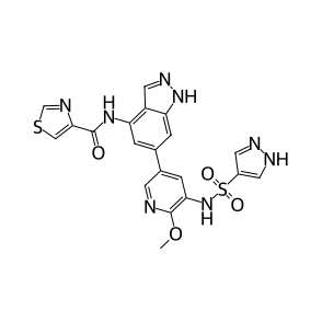 COc1ncc(-c2cc(NC(=O)c3cscn3)c3cn[nH]c3c2)cc1NS(=O)(=O)c1cn[nH]c1